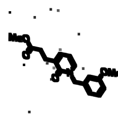 COC(=O)CCc1cccn(Cc2cccc(OC)c2)c1=O